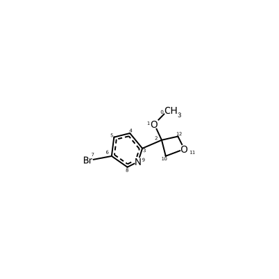 COC1(c2ccc(Br)cn2)COC1